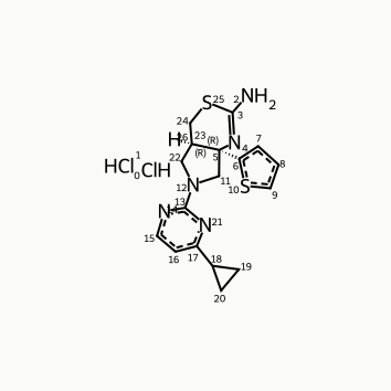 Cl.Cl.NC1=N[C@@]2(c3cccs3)CN(c3nccc(C4CC4)n3)C[C@H]2CS1